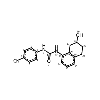 O=C(Nc1ccc(Cl)cc1)Nc1cccc2c1CC(O)CC2